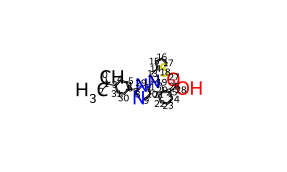 CC(C)c1ccc(-c2nccc(N(Cc3cccs3)Cc3ccccc3C(=O)O)n2)cc1